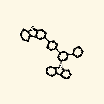 c1ccc(-c2cc(-c3ccc(-c4ccc5sc6ccccc6c5c4)cc3)cc(-n3c4ccccc4c4ccccc43)c2)cc1